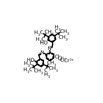 CC(C)(C)c1cc(/C=N\c2ccccc2/N=C/c2cc(C(C)(C)C)cc(C(C)(C)C)c2O)c(O)c(C(C)(C)C)c1.[Cl-].[Cl-].[Cl-].[Cr+3]